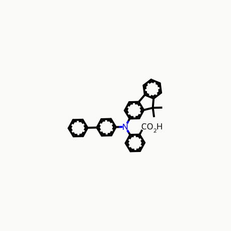 CC1(C)c2ccccc2-c2ccc(N(c3ccc(-c4ccccc4)cc3)c3ccccc3C(=O)O)cc21